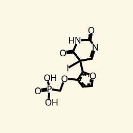 O=C1N=CC(I)(c2occc2OCP(=O)(O)O)C(=O)N1